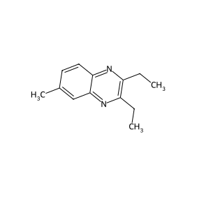 CCc1nc2ccc(C)cc2nc1CC